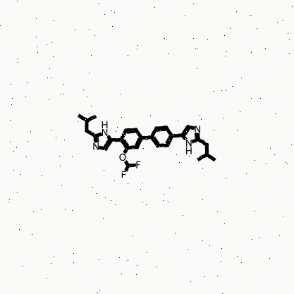 CC(C)Cc1ncc(-c2ccc(-c3ccc(-c4cnc(CC(C)C)[nH]4)c(OC(F)F)c3)cc2)[nH]1